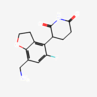 NCc1cc(F)c(C2CCC(=O)NC2=O)c2c1OCC2